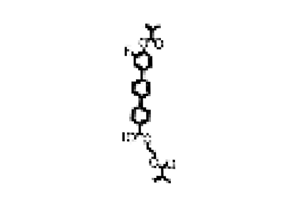 C=C(C)C(=O)OCCOC(O)c1ccc(-c2ccc(-c3ccc(OC(=O)C(=C)C)c(F)c3)cc2)cc1